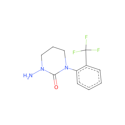 NN1CCCN(c2ccccc2C(F)(F)F)C1=O